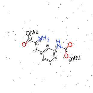 CCCCOC(=O)Nc1cccc(CC(N)C(=O)OC)c1